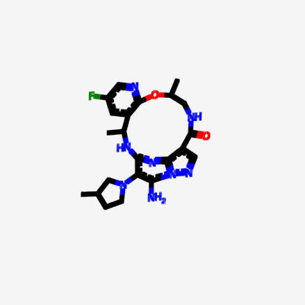 CC1CCN(c2c3nc4c(cnn4c2N)C(=O)NCC(C)Oc2ncc(F)cc2C(C)N3)C1